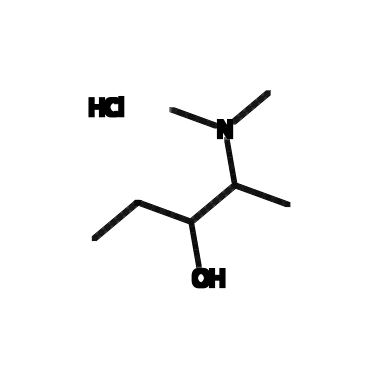 CCC(O)C(C)N(C)C.Cl